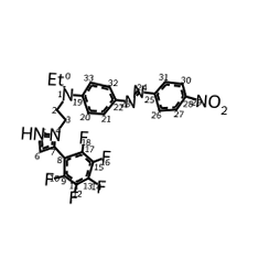 CCN(CCn1[nH]cc1-c1c(F)c(F)c(F)c(F)c1F)c1ccc(/N=N/c2ccc([N+](=O)[O-])cc2)cc1